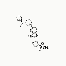 CS(=O)(=O)c1cccc(-c2nc3ccc(N4CCC[C@@H](C(=O)N5CCCC5)C4)nc3[nH]2)c1